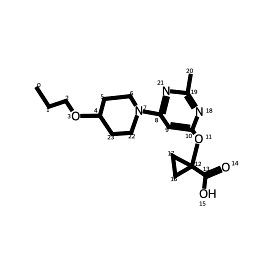 CCCOC1CCN(c2cc(OC3(C(=O)O)CC3)nc(C)n2)CC1